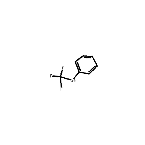 FC(F)(F)[Se]c1ccccc1